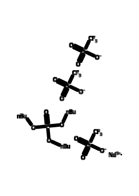 CCCCOP(=O)(OCCCC)OCCCC.O=S(=O)([O-])C(F)(F)F.O=S(=O)([O-])C(F)(F)F.O=S(=O)([O-])C(F)(F)F.[Nd+3]